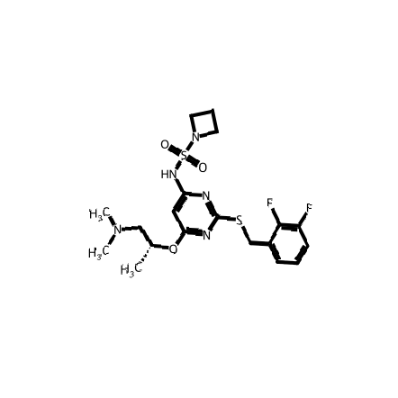 C[C@H](CN(C)C)Oc1cc(NS(=O)(=O)N2CCC2)nc(SCc2cccc(F)c2F)n1